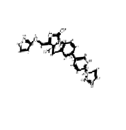 O=C1OC(COc2ccon2)[C@@H]2Cc3cc(-c4ccc(-n5ccnn5)nc4)ccc3N12